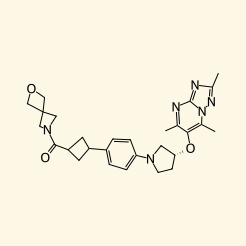 Cc1nc2nc(C)c(O[C@@H]3CCN(c4ccc(C5CC(C(=O)N6CC7(COC7)C6)C5)cc4)C3)c(C)n2n1